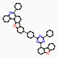 c1ccc(-c2nc(-c3ccc(-c4ccc5oc6c(ccc7c(-c8ccccc8)nc8ccccc8c76)c5c4)cc3)nc(-c3cccc4oc5ccccc5c34)n2)cc1